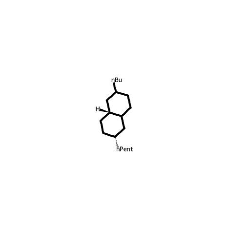 CCCCC[C@@H]1CC[C@@H]2CC(CCCC)CCC2C1